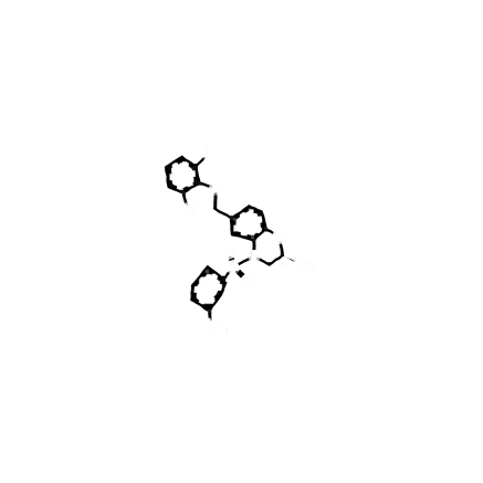 Cc1cccc(S(=O)(=O)N2C[C@H](C)Oc3ccc(COc4c(F)cccc4Cl)cc32)c1